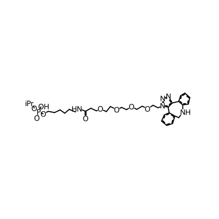 CC(C)OP(=O)(O)OCCCCCCNC(=O)CCOCCOCCOCCOCCn1nnc2c1-c1ccccc1CNc1ccccc1-2